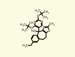 CCc1ccc2c(c1)CCc1oc(C)nc1C2(O)c1cnc(OC(C)(C)C)nc1OC(C)(C)C